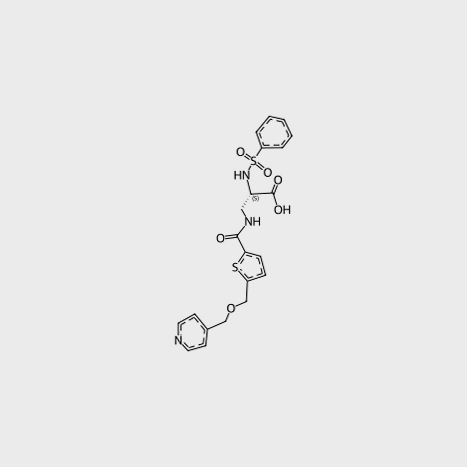 O=C(NC[C@H](NS(=O)(=O)c1ccccc1)C(=O)O)c1ccc(COCc2ccncc2)s1